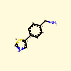 NCc1ccc(-c2cncs2)cc1